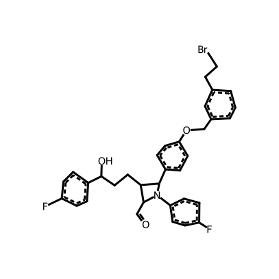 O=CC1C(CCC(O)c2ccc(F)cc2)C(c2ccc(OCc3cccc(CCBr)c3)cc2)N1c1ccc(F)cc1